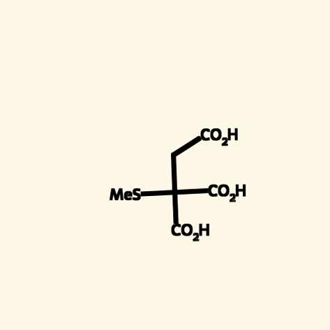 CSC(CC(=O)O)(C(=O)O)C(=O)O